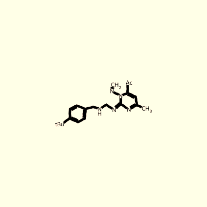 C=Nn1c(C(C)=O)cc(C)n/c1=N/CNCc1ccc(C(C)(C)C)cc1